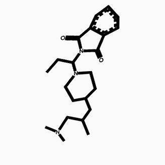 CCC(N1CCC(CC(C)CN(C)C)CC1)N1C(=O)c2ccccc2C1=O